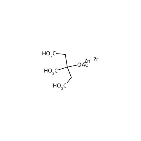 CC(=O)OC(CC(=O)O)(CC(=O)O)C(=O)O.[Zn].[Zr]